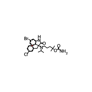 CC(C)N(CCCC(C)(C)OC(N)=O)C1(Cc2cccc(Cl)c2)C(=O)Nc2cc(Br)ccc21